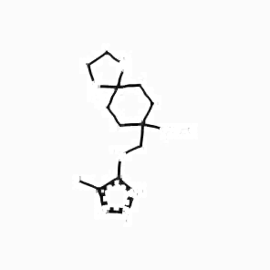 CCOC(=O)C1(COc2nsnc2C)CCC2(CC1)OCCO2